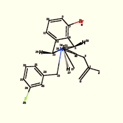 C=C(C)C[C@H]1[C@H]2c3c(Br)cccc3[C@H](CC2(C)C)N1Cc1cccc(F)c1